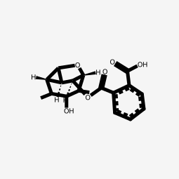 CC1C(O)C(C)[C@H]2OC3[C@@H]1[C@@H]3[C@@H]2OC(=O)c1ccccc1C(=O)O